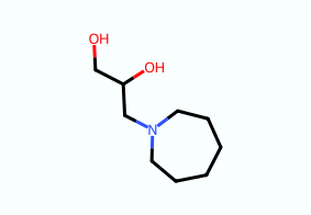 OCC(O)CN1CCCCCC1